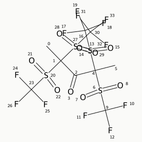 CC(C(=O)C(C)(S(=O)(=O)C(F)(F)F)S(=O)(=O)C(F)(F)F)(S(=O)(=O)C(F)(F)F)S(=O)(=O)C(F)(F)F